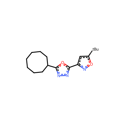 CC(C)(C)c1cc(-c2nnc(C3CCCCCCC3)o2)no1